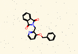 O=C1c2ccccc2C(=O)N1Cc1ncccc1OCc1ccccc1